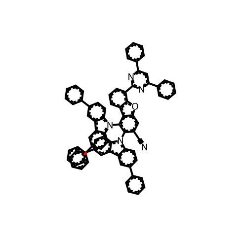 N#Cc1cc2oc3c(-c4nc(-c5ccccc5)cc(-c5ccccc5)n4)cccc3c2c(-n2c3ccc(-c4ccccc4)cc3c3cc(-c4ccccc4)ccc32)c1-n1c2ccc(-c3ccccc3)cc2c2cc(-c3ccccc3)ccc21